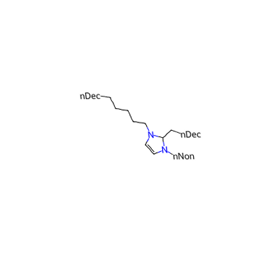 CCCCCCCCCCCCCCCN1C=CN(CCCCCCCCC)C1CCCCCCCCCCC